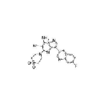 Nc1c(Br)c(N2CCS(=O)(=O)CC2)nc2c(-c3cnc4cc(F)ccc4c3)cnn12